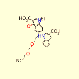 CCn1cc(C(=O)O)c(=O)c2cc(CCCOCCOCCC#N)ccc21.O=C(O)C1=CNc2ccccc2C1